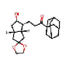 O=C(CC[C@H]1[C@@H]2CC3(C[C@@H]2C[C@H]1O)OCCO3)C12CC3CC(CC(C3)C1)C2